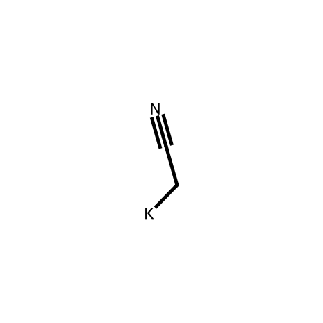 N#C[CH2][K]